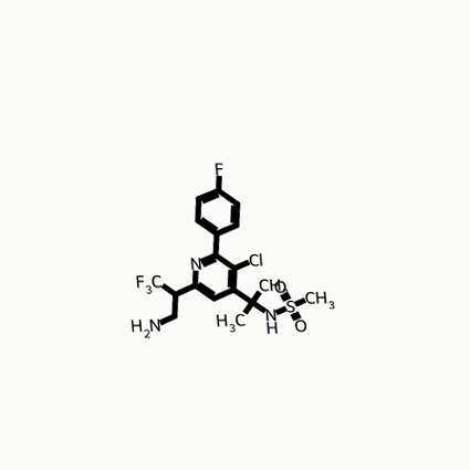 CC(C)(NS(C)(=O)=O)c1cc(C(CN)C(F)(F)F)nc(-c2ccc(F)cc2)c1Cl